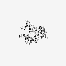 C=C(C)C(=O)Nc1ccc(-c2c(-c3ccc(C(=O)N(C)Cc4noc(C)n4)cc3)c3c(N)ncnc3n2C)cc1